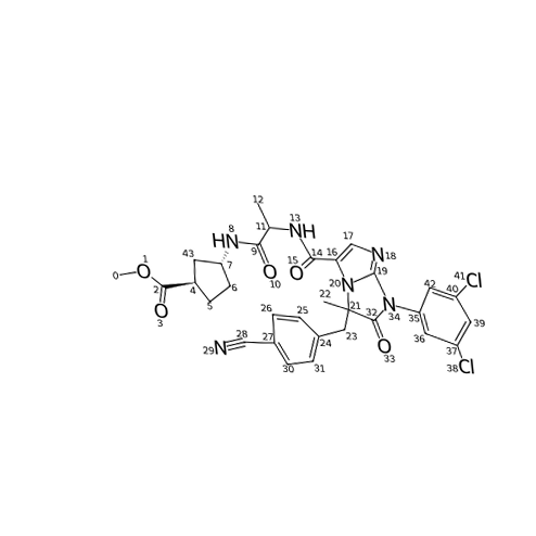 COC(=O)[C@@H]1CC[C@@H](NC(=O)C(C)NC(=O)c2cnc3n2C(C)(Cc2ccc(C#N)cc2)C(=O)N3c2cc(Cl)cc(Cl)c2)C1